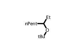 [CH2]CC(CCCCC)OC(C)(C)C